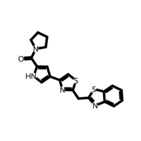 O=C(c1cc(-c2csc(Cc3nc4ccccc4s3)n2)c[nH]1)N1CCCC1